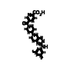 Cc1cc(C)cc(Nc2ncc3c(n2)CCN(C2CCN(C(=O)c4ccc(C(=O)O)nc4)CC2)C3)c1